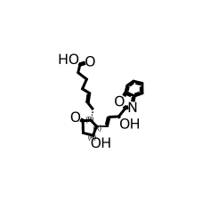 O=C(O)CCCC=CC[C@H]1C(=O)C[C@@H](O)[C@@H]1C=CC(O)c1nc2ccccc2o1